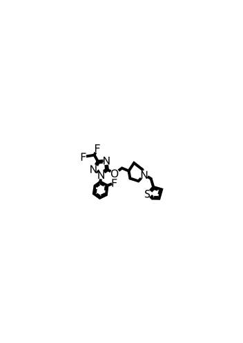 Fc1ccccc1-n1nc(C(F)F)nc1OCC1CCN(Cc2cccs2)CC1